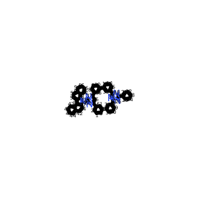 c1ccc(-c2cc(-c3cccc(-c4cccc(-c5nc(-c6ccccc6)nc(-c6ccccc6)n5)c4)c3)nc(-n3c4ccc5ccccc5c4c4ccc5ccccc5c43)n2)cc1